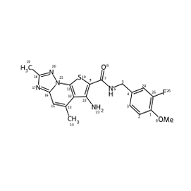 COc1ccc(CNC(=O)c2sc3c(c(C)cc4nc(C)nn43)c2N)cc1F